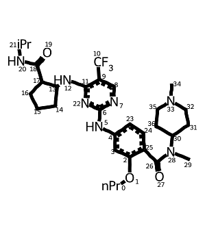 CCCOc1cc(Nc2ncc(C(F)(F)F)c(NC3CCCC3C(=O)NC(C)C)n2)ccc1C(=O)N(C)C1CCN(C)CC1